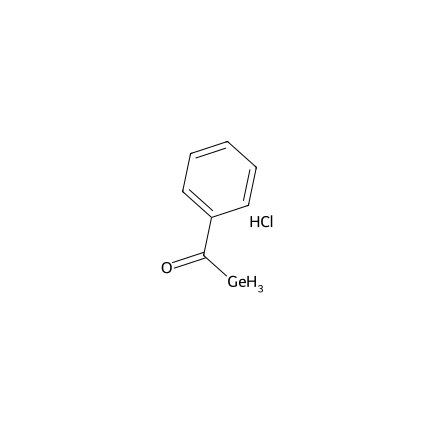 Cl.O=[C]([GeH3])c1ccccc1